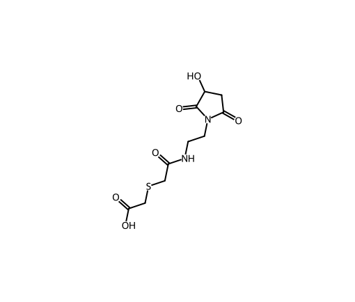 O=C(O)CSCC(=O)NCCN1C(=O)CC(O)C1=O